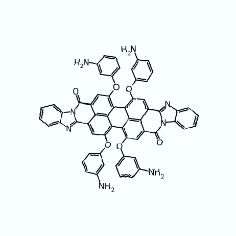 Nc1cccc(Oc2cc3c(=O)n4c5ccccc5nc4c4cc(Oc5cccc(N)c5)c5c6c(Oc7cccc(N)c7)cc7c(=O)n8c9ccccc9nc8c8cc(Oc9cccc(N)c9)c(c2c5c34)c6c78)c1